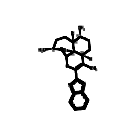 CC1=C(c2nc3ccccc3s2)OC2O[C@]3(C)CC[C@H]4[C@H](C)CC[C@@H]1[C@@]24OO3